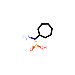 NC(C1CCCCCC1)[PH](=O)O